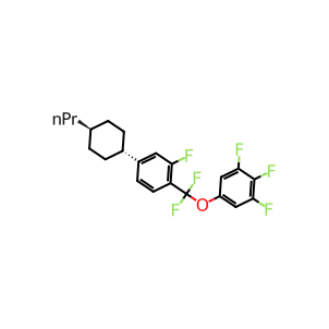 CCC[C@H]1CC[C@H](c2ccc(C(F)(F)Oc3cc(F)c(F)c(F)c3)c(F)c2)CC1